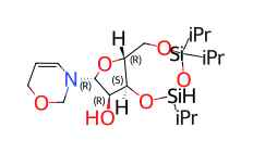 CC(C)[SiH]1O[C@H]2[C@@H](O)[C@H](N3C=CCOC3)O[C@@H]2CO[Si](C(C)C)(C(C)C)O1